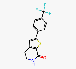 O=C1NCCc2cc(-c3ccc(C(F)(F)F)cc3)sc21